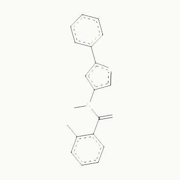 CC(C)N(C(=O)c1ccccc1Cl)c1csc(-c2ccccc2)c1